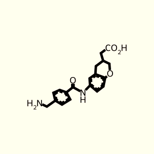 NCc1ccc(C(=O)Nc2ccc3c(c2)CC(CC(=O)O)CO3)cc1